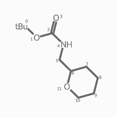 CC(C)(C)OC(=O)NCC1CCCCO1